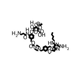 CCCCCNc1nc(N)nc2ccn(Cc3ccc(CN4CCN(C(=O)OCc5ccc(O[C@@H]6O[C@H](C(=O)O)[C@@H](OC(C)=O)[C@H](O)[C@H]6O)c(NC(=O)CCN)c5)CC4)cc3OC)c12